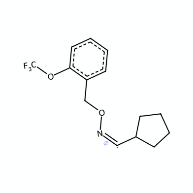 FC(F)(F)Oc1ccccc1CO/N=[C]\C1CCCC1